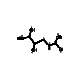 CCCCC(O)C(O)CNC(CC)CCC